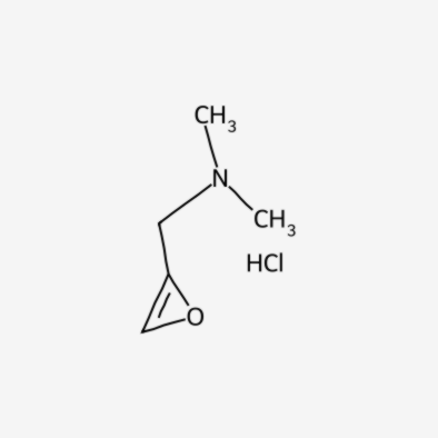 CN(C)CC1=CO1.Cl